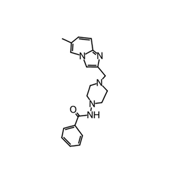 Cc1ccc2nc(CN3CCN(NC(=O)c4ccccc4)CC3)cn2c1